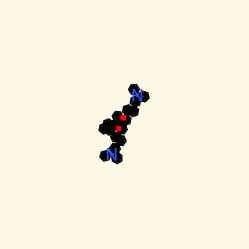 CC12CCCCC1(C)N(c1ccccc1)c1ccc(-c3cccc4c(-c5ccc6c(c5)C5(c7cc(-c8cccc9c(-c%10ccc%11c(c%10)C%10(C)CCCCC%10(C)N%11c%10ccccc%10)cccc89)ccc7-6)c6ccccc6-c6c5cc5ccc7cccc8ccc6c5c78)cccc34)cc12